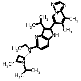 CCN(C[C@H]1C[C@@H](C)N1C(C)C)c1ccc2[nH]c(-c3cn4ncnc4c(C)c3C)c(C(C)C)c2n1